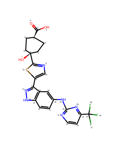 O=C(O)[C@H]1CC[C@](O)(c2ncc(-c3n[nH]c4ccc(Nc5nccc(C(F)(F)F)n5)cc34)s2)CC1